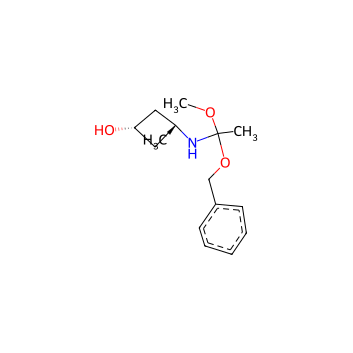 COC(C)(N[C@]1(C)C[C@H](O)C1)OCc1ccccc1